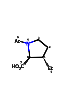 CC[C@H]1CCN(C(C)=O)[C@@H]1C(=O)O